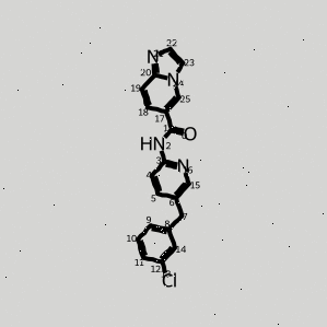 O=C(Nc1ccc(Cc2cccc(Cl)c2)cn1)c1ccc2nccn2c1